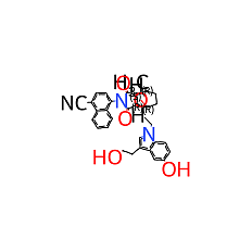 C[C@]12CC[C@](CCn3cc(CCO)c4cc(O)ccc43)(O1)[C@@H]1C(=O)N(c3ccc(C#N)c4ccccc34)C(=O)[C@@H]12